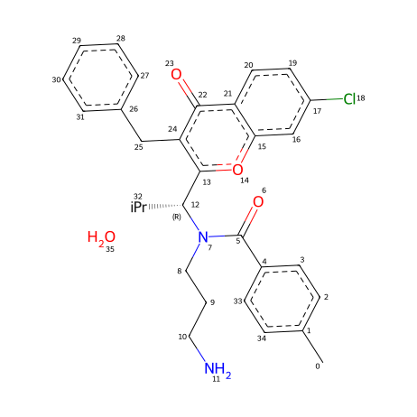 Cc1ccc(C(=O)N(CCCN)[C@@H](c2oc3cc(Cl)ccc3c(=O)c2Cc2ccccc2)C(C)C)cc1.O